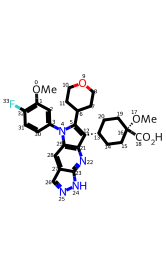 COc1cc(-n2c(C3CCOCC3)c([C@H]3CC[C@](OC)(C(=O)O)CC3)c3nc4[nH]ncc4cc32)ccc1F